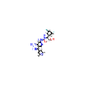 Cc1cc(C(=N)c2cnc(NC(=O)NC(CO)c3cc(F)cc(F)c3)cc2N)ccn1